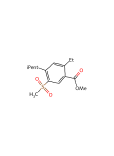 CCCC(C)c1cc(CC)c(C(=O)OC)cc1S(C)(=O)=O